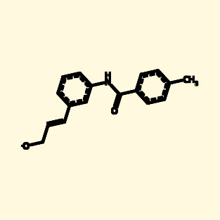 Cc1ccc(C(=O)Nc2cccc(C=CC[O])c2)cc1